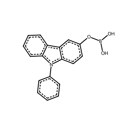 OB(O)Oc1ccc2c(c1)c1ccccc1n2-c1ccccc1